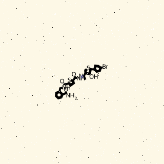 C/C(=N\NC(=O)c1ccc(C(=O)NCc2ccccc2C(N)=O)s1)c1csc(-c2ccc(Br)cc2)c1O